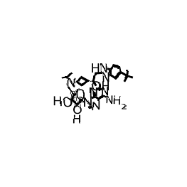 CC(C)N(C[C@H]1O[C@@H](n2cnc3c(N)ncnc32)[C@H](O)[C@@H]1O)[C@H]1C[C@@H](C(O)Cc2nc3cc(C(C)(C)C)ccc3[nH]2)C1